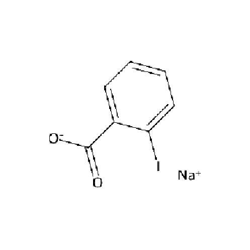 O=C([O-])c1ccccc1I.[Na+]